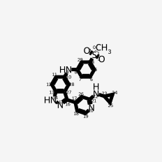 CS(=O)(=O)c1cccc(Nc2ccc3[nH]nc(-c4ccnc(NC5CC5)c4)c3c2)c1